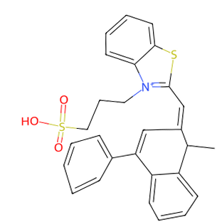 CC1/C(=C/c2sc3ccccc3[n+]2CCCS(=O)(=O)O)C=C(c2ccccc2)c2ccccc21